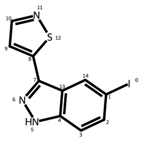 Ic1ccc2[nH]nc(-c3ccns3)c2c1